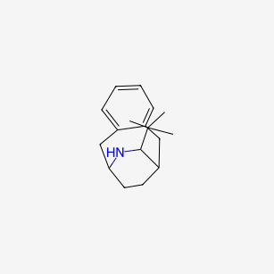 CC(C)(C)C1NC2CCC1Cc1ccccc1C2